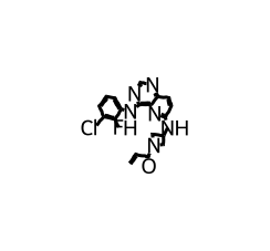 C=CC(=O)N1CC(Nc2ccc3ncnc(Nc4cccc(Cl)c4F)c3n2)C1